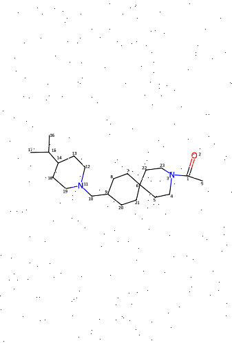 CC(=O)N1CCC2(CCC(CN3CCC(C(C)C)CC3)CC2)CC1